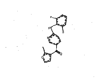 Cc1occc1C(=O)c1ccc(Nc2c(F)cccc2F)nc1